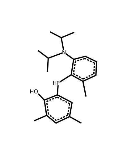 Cc1cc(C)c(O)c(Pc2c(C)cccc2N(C(C)C)C(C)C)c1